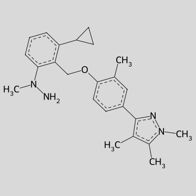 Cc1cc(-c2nn(C)c(C)c2C)ccc1OCc1c(C2CC2)cccc1N(C)N